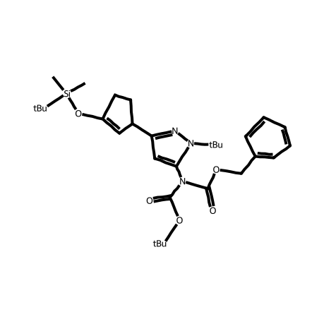 CC(C)(C)OC(=O)N(C(=O)OCc1ccccc1)c1cc(C2C=C(O[Si](C)(C)C(C)(C)C)CC2)nn1C(C)(C)C